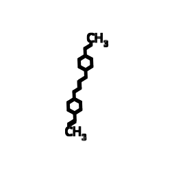 CC=CC1CCC(CC=CCC2CCC(CCC)CC2)CC1